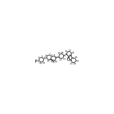 Fc1ccc(-c2ccc3cc(-c4ccc(-c5cccc6c5oc5ccccc56)cc4)cnc3c2)cc1